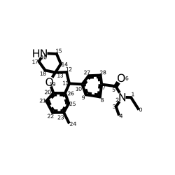 CCN(CC)C(=O)c1ccc(C2CC3(CCNCC3)Oc3ccc(C)cc32)cc1